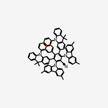 Cc1ccc2c(c1)c1cc(C)ccc1n2-c1c(C#N)c(-n2c3ccc(C)cc3c3cc(C)ccc32)c(-c2ccc3c(c2)N(c2ccccc2)c2ccccc2C3(C)C)c(-c2ccccc2)c1-c1ccc2c(c1)N(c1ccccc1)c1ccccc1C2(C)C